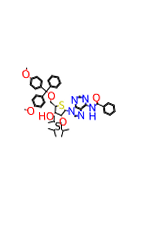 COc1ccc(C(OC[C@H]2S[C@@H](n3cnc4c(NC(=O)c5ccccc5)ncnc43)[C@H](O[Si](C(C)C)(C(C)C)C(C)C)[C@@H]2O)(c2ccccc2)c2ccc(OC)cc2)cc1